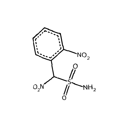 NS(=O)(=O)C(c1ccccc1[N+](=O)[O-])[N+](=O)[O-]